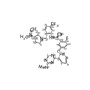 CNc1ncnc(-c2cccnc2Oc2ccc(F)c(C(=O)Nc3cc(C(F)(F)F)ccc3CN3CC[C@@H](N(C)C)C3)c2)n1